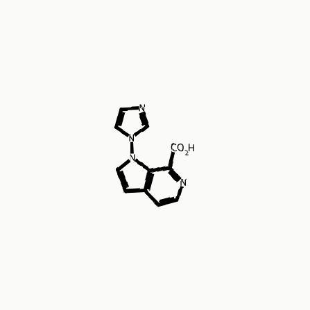 O=C(O)c1nccc2ccn(-n3ccnc3)c12